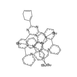 CC(C)(C)c1ccc2c(c1)c1cc(C(C)(C)C)ccc1n2-c1c(-c2ccccn2)cccc1-c1nc(C2=CC=CCC2)nc(-c2cccc(-c3ccccn3)c2-n2c3ccc(C(C)(C)C)cc3c3cc(C(C)(C)C)ccc32)n1